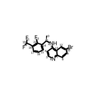 C[C@@H](Nc1ccnc2ccc(Br)cc12)c1cccc(C(F)F)c1F